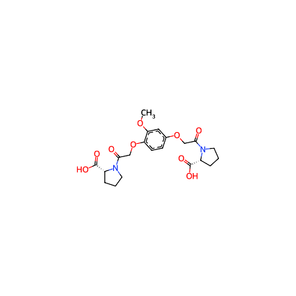 COc1cc(OCC(=O)N2CCC[C@@H]2C(=O)O)ccc1OCC(=O)N1CCC[C@@H]1C(=O)O